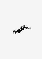 CNC(=O)c1cc(Cc2ccc(-c3coc(C)n3)cc2)ccn1